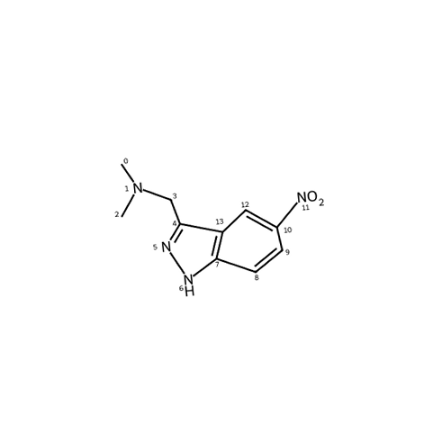 CN(C)Cc1n[nH]c2ccc([N+](=O)[O-])cc12